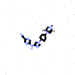 CN1C[C@@H]2C[C@H]1CN2c1ccc(-n2cnc(Nc3cnc(C#N)cn3)c2)cc1